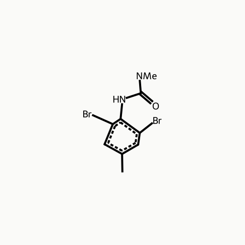 CNC(=O)Nc1c(Br)cc(C)cc1Br